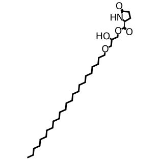 CCCCCCCCCCCCCCCCCCCCCCCCOCC(O)COC(=O)[C@@H]1CCC(=O)N1